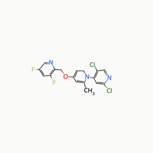 CC1=CC(OCc2ncc(F)cc2F)=CCN1c1cc(Cl)ncc1Cl